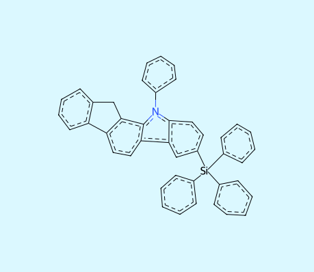 c1ccc(-n2c3ccc([Si](c4ccccc4)(c4ccccc4)c4ccccc4)cc3c3ccc4c(c32)Cc2ccccc2-4)cc1